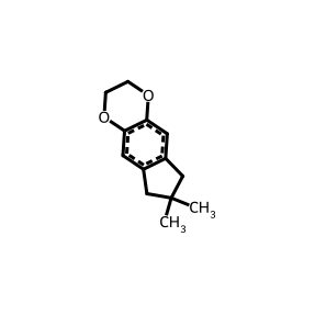 CC1(C)Cc2cc3c(cc2C1)OCCO3